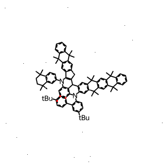 Cc1cc2c3c(c1)N(c1ccc(C(C)(C)C)cc1-c1ccc(C(C)(C)C)cc1)c1cc4c(cc1C3C1=C(c3cc5c(cc3C1)C(C)(C)c1ccccc1C5(C)C)N2c1ccc2c(c1)C(C)(C)CCC2(C)C)C(C)(C)c1cc2c(cc1C4(C)C)C(C)(C)c1ccccc1C2(C)C